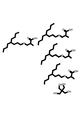 CCCCC(CCCC)CCCSCC(C)C(=O)O.CCCCC(CCCC)CCCSCC(C)C(=O)O.CCCCC(CCCC)CCCSCC(C)C(=O)O.CCCCC(CCCC)CCCSCC(C)C(=O)O.OCC(CO)(CO)CO